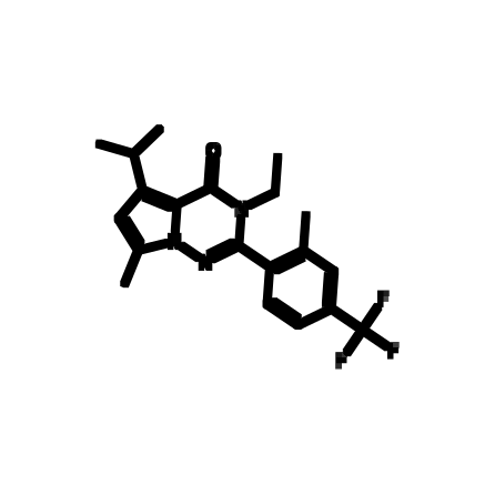 CCn1c(-c2ccc(C(F)(F)F)cc2C)nn2c(C)cc(C(C)C)c2c1=O